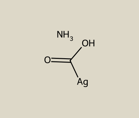 N.O=[C](O)[Ag]